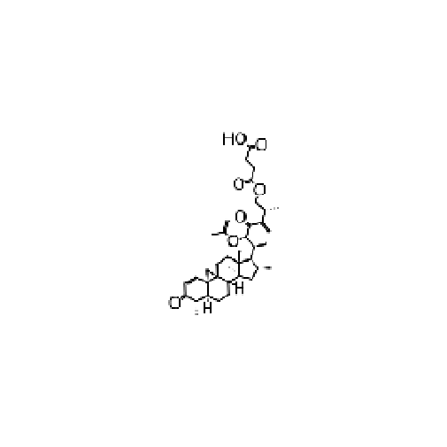 C=C(C)O[C@@H](C(=O)C(=C)[C@@H](C)COC(=O)CCC(=O)O)[C@@H](C)[C@H]1[C@@H](C)C[C@@]2(C)[C@@H]3CC[C@H]4[C@H](C)C(=O)C=C[C@@]45C[C@@]35CC[C@]12C